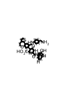 NCc1ccc(NC(=O)c2cc3c(cc2-c2ccc(C(=O)NC45C[C@@H]6C[C@@H](CC(O)(C6)C4)C5)nc2C(=O)O)OCCc2ccsc2-3)cc1